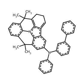 CC1(C)C2=c3c(c4cc(N(c5ccccc5)c5cccc(-c6ccccc6)c5)cc5c4n3-c3c1cccc3C5(C)C)=CCC2